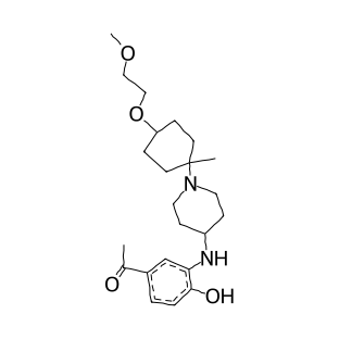 COCCOC1CCC(C)(N2CCC(Nc3cc(C(C)=O)ccc3O)CC2)CC1